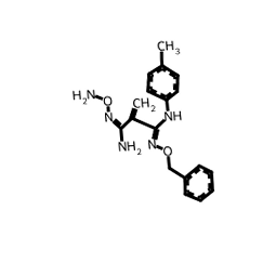 C=C(/C(=N/OCc1ccccc1)Nc1ccc(C)cc1)/C(N)=N\ON